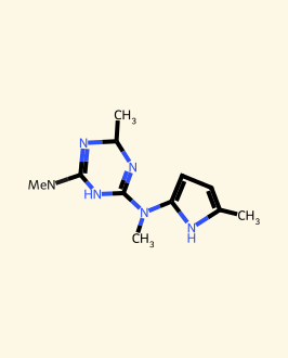 CNC1=NC(C)N=C(N(C)c2ccc(C)[nH]2)N1